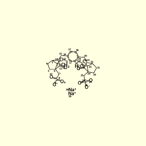 CC1(C)C2CCC1(CS(=O)(=O)[O-])C(=O)C2Cc1ccc(CC2C(=O)C3(CS(=O)(=O)[O-])CCC2C3(C)C)cc1.[Na+].[Na+]